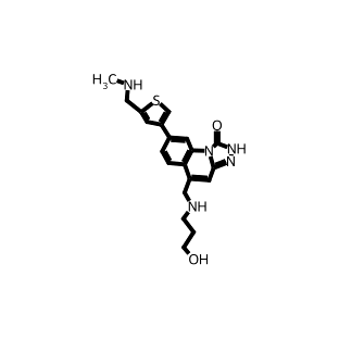 CNCc1cc(-c2ccc3c(CNCCCO)cc4n[nH]c(=O)n4c3c2)cs1